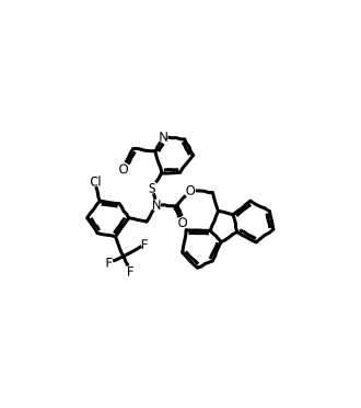 O=Cc1ncccc1SN(Cc1cc(Cl)ccc1C(F)(F)F)C(=O)OCC1c2ccccc2-c2ccccc21